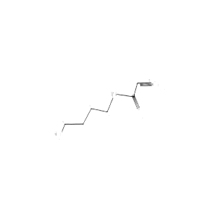 C=CC(=O)NCCCCC(C)C